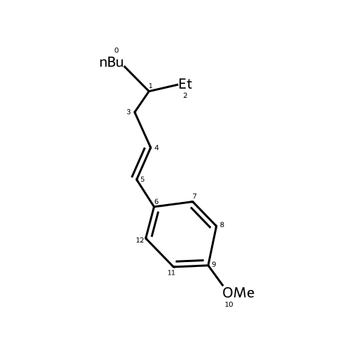 CCCCC(CC)CC=Cc1ccc(OC)cc1